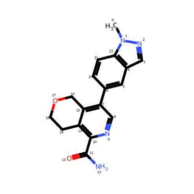 Cn1ncc2cc(-c3cnc(C(N)=O)c4c3COC[CH]4)ccc21